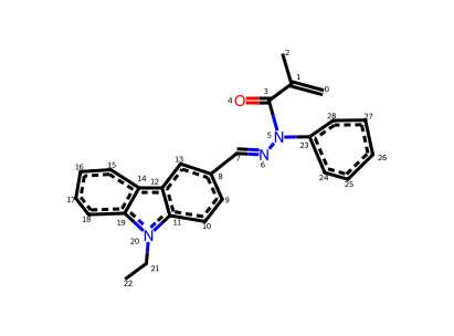 C=C(C)C(=O)N(/N=C/c1ccc2c(c1)c1ccccc1n2CC)c1ccccc1